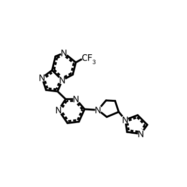 FC(F)(F)c1cn2c(-c3nccc(N4CCC(n5ccnc5)C4)n3)cnc2cn1